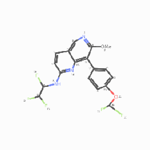 COc1ncc2ccc(NC(F)C(F)F)nc2c1-c1ccc(OC(F)F)cc1